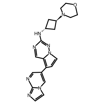 c1cn2cc(-c3ccn4nc(N[C@H]5C[C@H](N6CCOCC6)C5)ncc34)cnc2n1